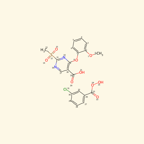 COc1ccccc1Oc1nc(S(C)(=O)=O)ncc1C(=O)O.O=C(OO)c1cccc(Cl)c1